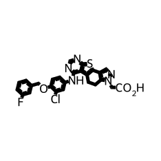 O=C(O)Cn1ncc2c1CCc1c-2sc2ncnc(Nc3ccc(OCc4cccc(F)c4)c(Cl)c3)c12